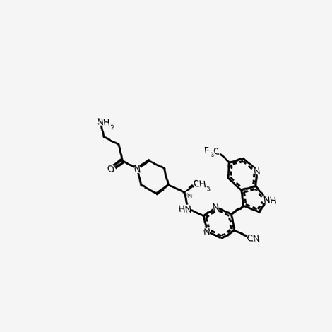 C[C@@H](Nc1ncc(C#N)c(-c2c[nH]c3ncc(C(F)(F)F)cc23)n1)C1CCN(C(=O)CCN)CC1